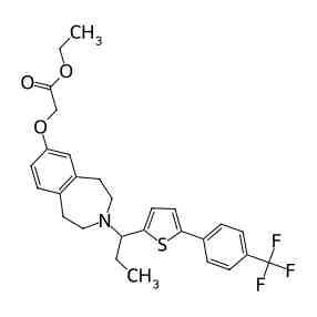 CCOC(=O)COc1ccc2c(c1)CCN(C(CC)c1ccc(-c3ccc(C(F)(F)F)cc3)s1)CC2